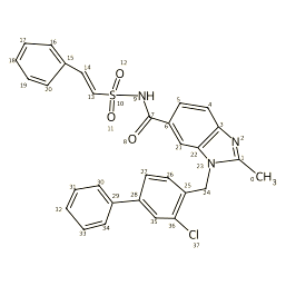 Cc1nc2ccc(C(=O)NS(=O)(=O)/C=C/c3ccccc3)cc2n1Cc1ccc(-c2ccccc2)cc1Cl